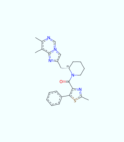 Cc1nc(C(=O)N2CCCC[C@H]2Cc2cn3cnc(C)c(C)c3n2)c(-c2ccccc2)s1